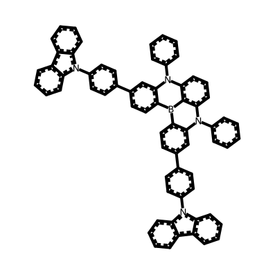 c1ccc(N2c3cc(-c4ccc(-n5c6ccccc6c6ccccc65)cc4)ccc3B3c4ccc(-c5ccc(-n6c7ccccc7c7ccccc76)cc5)cc4N(c4ccccc4)c4cccc2c43)cc1